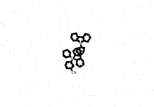 N#Cc1cccc([Si](c2ccccc2)(c2ccccc2)c2ccccc2-c2ccc(-n3c4ccccc4c4ccccc43)cc2)c1